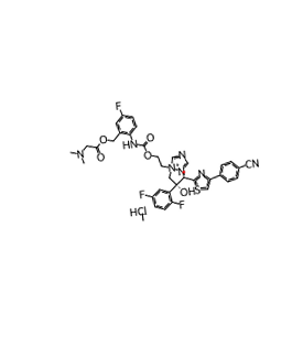 C[C@@H](c1nc(-c2ccc(C#N)cc2)cs1)[C@](O)(C[N+]1(CCOC(=O)Nc2ccc(F)cc2COC(=O)CN(C)C)C=NC=N1)c1cc(F)ccc1F.Cl.[I-]